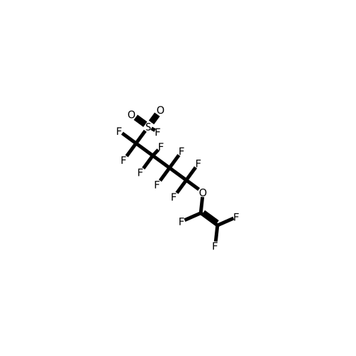 O=S(=O)(F)C(F)(F)C(F)(F)C(F)(F)C(F)(F)OC(F)=C(F)F